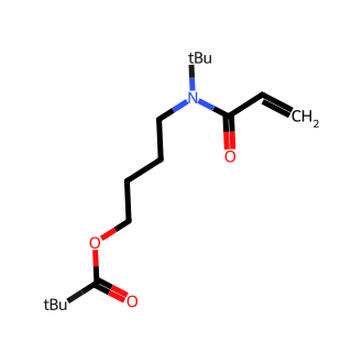 C=CC(=O)N(CCCCOC(=O)C(C)(C)C)C(C)(C)C